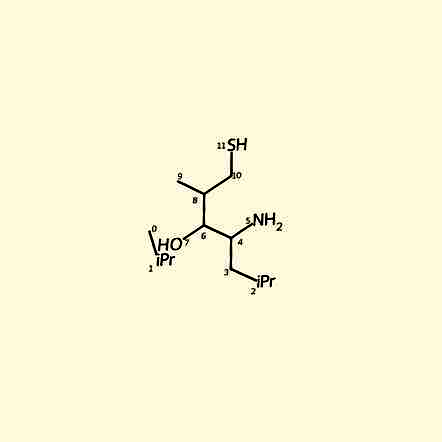 CC(C)C.CC(C)CC(N)C(O)C(C)CS